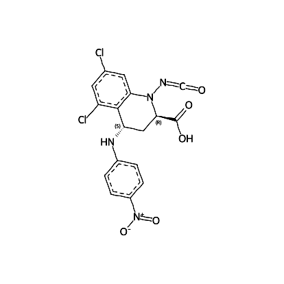 O=C=NN1c2cc(Cl)cc(Cl)c2[C@@H](Nc2ccc([N+](=O)[O-])cc2)C[C@@H]1C(=O)O